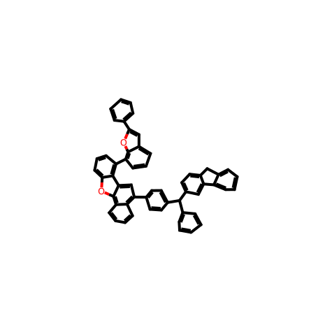 c1ccc(-c2cc3cccc(-c4cccc5oc6c7ccccc7c(-c7ccc(C(c8ccccc8)c8ccc9c(c8)-c8ccccc8C9)cc7)cc6c45)c3o2)cc1